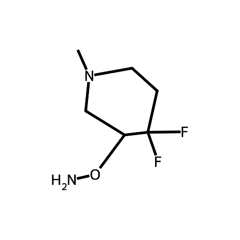 CN1CCC(F)(F)C(ON)C1